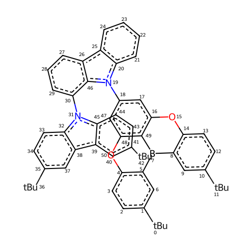 CC(C)(C)c1ccc2c(c1)B1c3cc(C(C)(C)C)ccc3Oc3cc(-n4c5ccccc5c5cccc(-n6c7ccc(C(C)(C)C)cc7c7cc(C(C)(C)C)ccc76)c54)cc(c31)O2